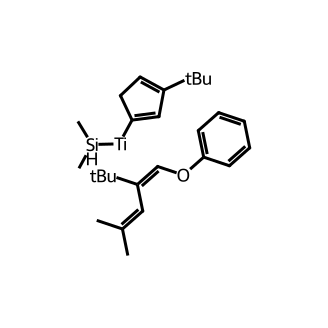 CC(C)=CC(=COc1ccccc1)C(C)(C)C.C[SiH](C)[Ti][C]1=CC(C(C)(C)C)=CC1